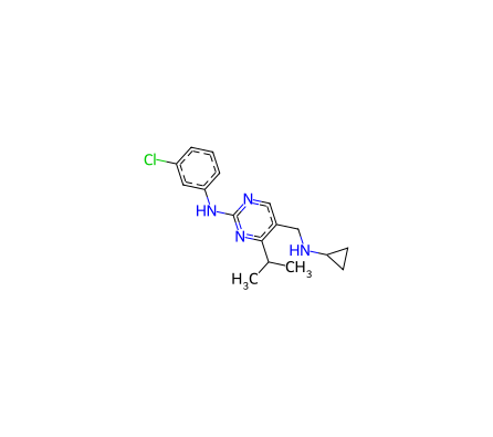 CC(C)c1nc(Nc2cccc(Cl)c2)ncc1CNC1CC1